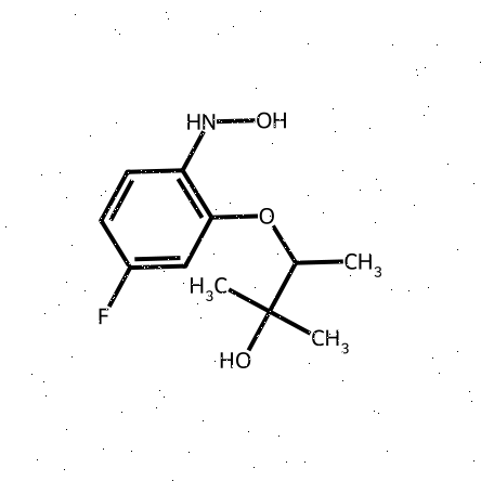 CC(Oc1cc(F)ccc1NO)C(C)(C)O